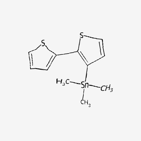 [CH3][Sn]([CH3])([CH3])[c]1ccsc1-c1cccs1